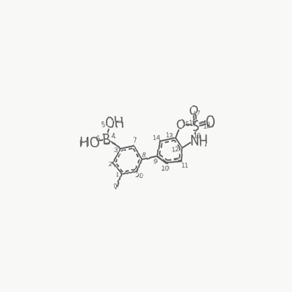 Cc1cc(B(O)O)cc(-c2ccc3c(c2)OS(=O)(=O)N3)c1